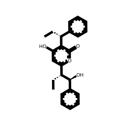 CC[C@H](c1ccccc1)c1c(O)cc([C@@H](CC)[C@@H](O)c2ccccc2)oc1=O